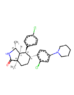 C[C@H]1NC(=O)[C@]2(C)CC[C@@H](c3ccc(N4CCCCC4)cc3Cl)[C@H](c3ccc(Cl)cc3)[C@H]12